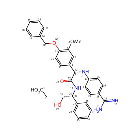 CC(=O)O.COc1cc([C@H](Nc2ccc(C(=N)N)cc2)C(=O)N[C@@H](CO)c2ccccc2)ccc1OCc1ccccc1